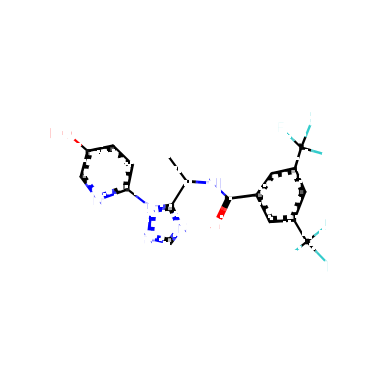 CC(NC(=O)c1cc(C(F)(F)F)cc(C(F)(F)F)c1)c1ncnn1-c1ccc(O)cn1